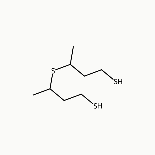 CC(CCS)SC(C)CCS